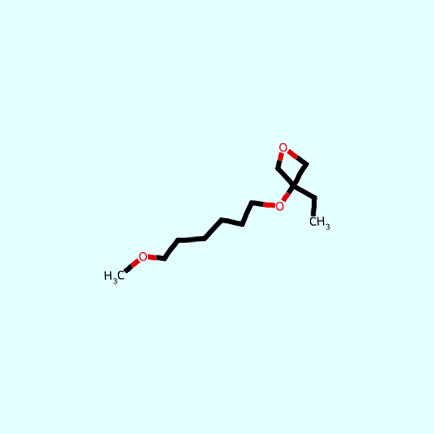 CCC1(OCCCCCCOC)COC1